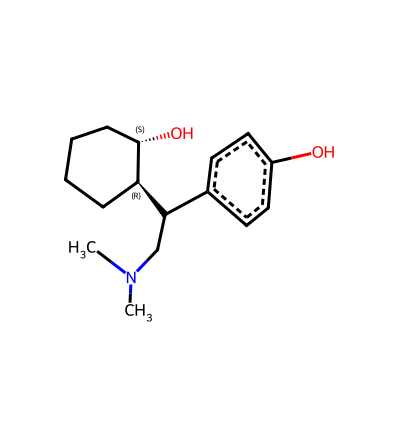 CN(C)CC(c1ccc(O)cc1)[C@H]1CCCC[C@@H]1O